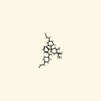 CCCC1CCC(C(C)c2ccccc2C2(C3CCC(CCC)CC3)CCC(C(=O)O)C(F)C2)CC1